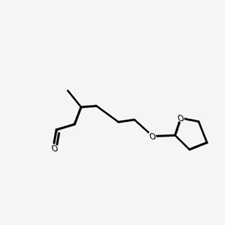 CC(CC=O)CCCOC1CCCO1